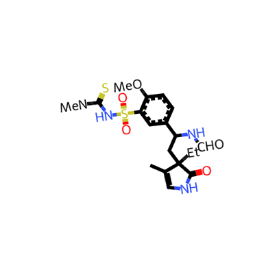 CCC1(CC(NC=O)c2ccc(OC)c(S(=O)(=O)NC(=S)NC)c2)C(=O)NC=C1C